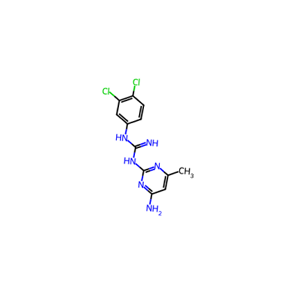 Cc1cc(N)nc(NC(=N)Nc2ccc(Cl)c(Cl)c2)n1